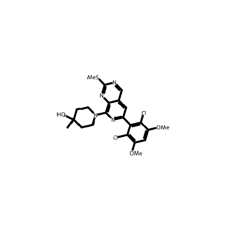 COc1cc(OC)c(Cl)c(-c2cc3cnc(SC)nc3c(N3CCC(C)(O)CC3)n2)c1Cl